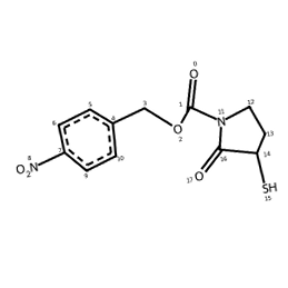 O=C(OCc1ccc([N+](=O)[O-])cc1)N1CCC(S)C1=O